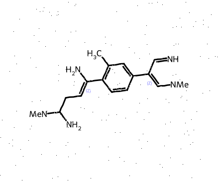 CN/C=C(\C=N)c1ccc(/C(N)=C/CC(N)NC)c(C)c1